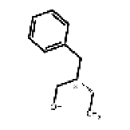 CC[C@H](CO)Cc1ccccc1